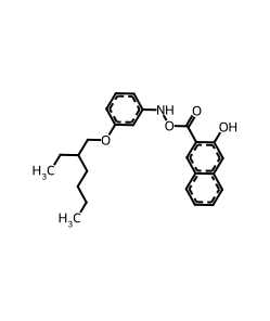 CCCCC(CC)COc1cccc(NOC(=O)c2cc3ccccc3cc2O)c1